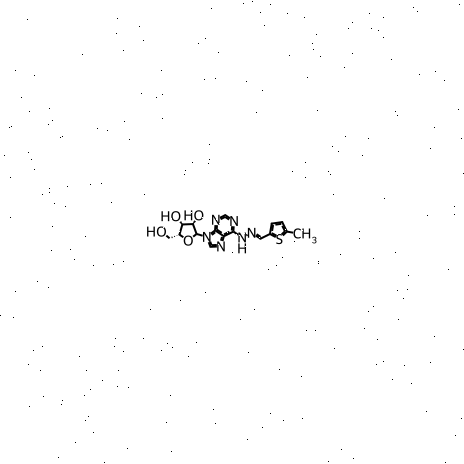 Cc1ccc(/C=N/Nc2ncnc3c2ncn3C2O[C@H](CO)[C@@H](O)[C@H]2O)s1